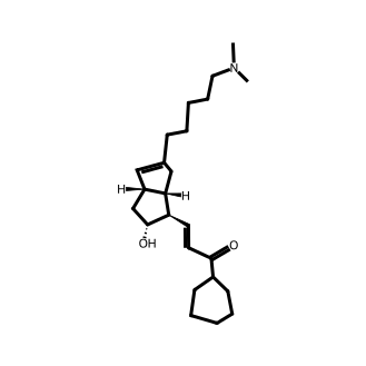 CN(C)CCCCCC1=C[C@H]2C[C@@H](O)[C@H](/C=C/C(=O)C3CCCCC3)[C@H]2C1